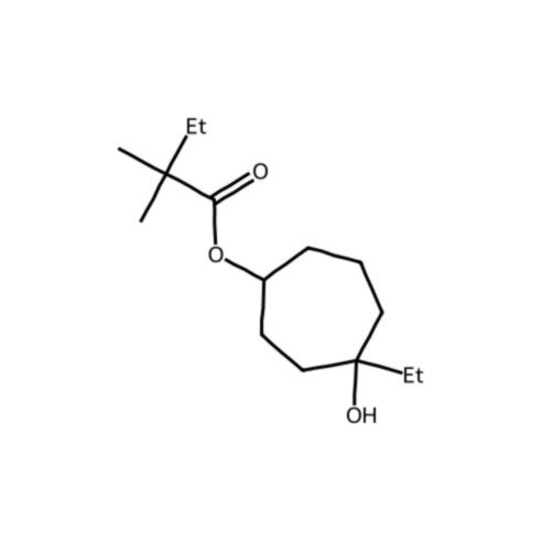 CCC1(O)CCCC(OC(=O)C(C)(C)CC)CC1